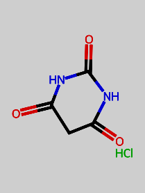 Cl.O=C1CC(=O)NC(=O)N1